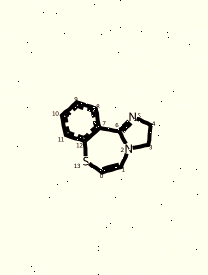 C1=CN2CCN=C2c2ccccc2S1